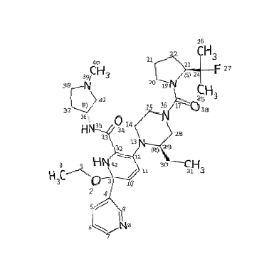 CCOC1(c2cccnc2)C=CC(N2CCN(C(=O)N3CCC[C@H]3C(C)(C)F)C[C@H]2CC)=C(C(=O)N[C@@H]2CCN(C)C2)N1